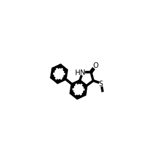 CSC1C(=O)Nc2c(-c3ccccc3)cccc21